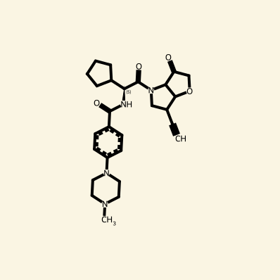 C#CC1CN(C(=O)[C@@H](NC(=O)c2ccc(N3CCN(C)CC3)cc2)C2CCCC2)C2C(=O)COC12